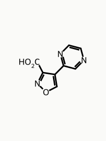 O=C(O)c1nocc1-c1cnccn1